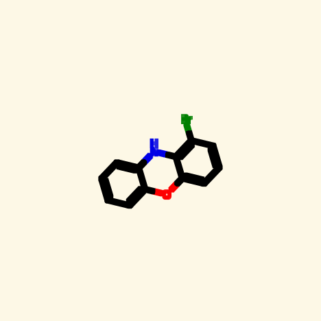 Brc1cccc2c1Nc1ccccc1O2